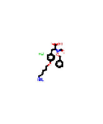 Cl.NCCCCCOc1ccc(CC(C(=O)O)N(C=O)OCc2ccccc2)cc1